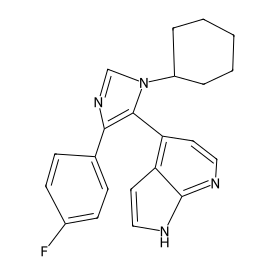 Fc1ccc(-c2ncn(C3CCCCC3)c2-c2ccnc3[nH]ccc23)cc1